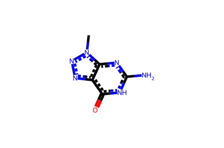 Cn1nnc2c(=O)[nH]c(N)nc21